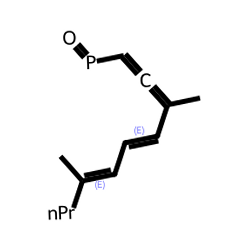 CCC/C(C)=C/C=C/C(C)=C=CP=O